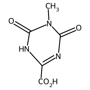 Cn1c(=O)nc(C(=O)O)[nH]c1=O